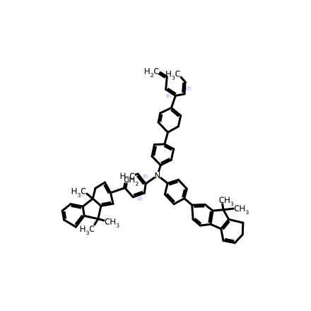 C=C/C=C(\C=C/C)C1=CCC(c2ccc(N(C(/C=C\C(=C)C3=CCC4(C)C(=C3)C(C)(C)c3ccccc34)=C/C)c3ccc(-c4ccc5c(c4)C(C)(C)C4=C5C=CCC4)cc3)cc2)C=C1